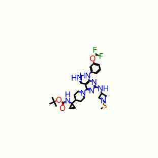 CSN1CC(Nc2nc(Nc3cccc(OC(F)F)c3)c(C=N)c(N3CCC(C4(NC(=O)OC(C)(C)C)CC4)CC3)n2)C1